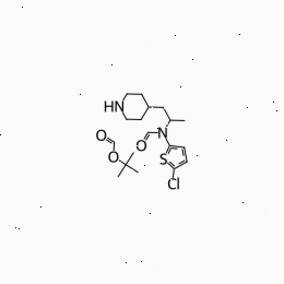 CC(C)(C)OC=O.CC(CC1CCNCC1)N(C=O)c1ccc(Cl)s1